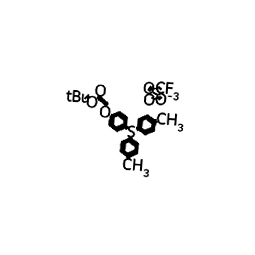 Cc1ccc([S+](c2ccc(C)cc2)c2ccc(OCC(=O)OC(C)(C)C)cc2)cc1.O=S(=O)([O-])C(F)(F)F